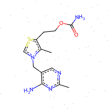 Cc1ncc(C[n+]2csc(CCOC(N)=O)c2C)c(N)n1